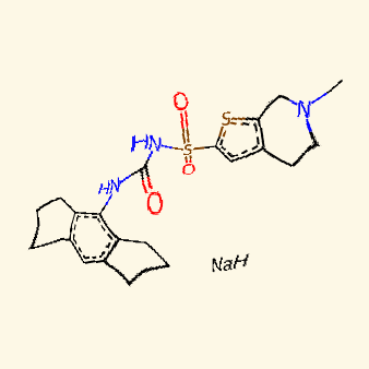 CN1CCc2cc(S(=O)(=O)NC(=O)Nc3c4c(cc5c3CCC5)CCC4)sc2C1.[NaH]